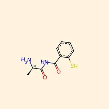 C[C@@H](N)C(=O)NC(=O)c1ccccc1S